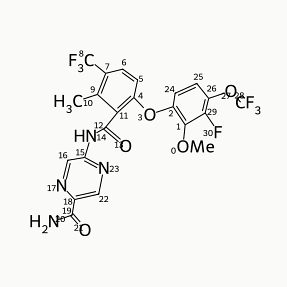 COc1c(Oc2ccc(C(F)(F)F)c(C)c2C(=O)Nc2cnc(C(N)=O)cn2)ccc(OC(F)(F)F)c1F